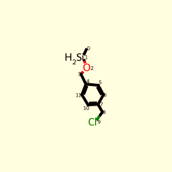 C[SiH2]OCc1ccc(CCl)cc1